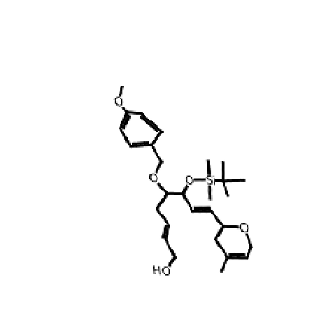 COc1ccc(COC(CC=CCO)C(C=CC2CC(C)=CCO2)O[Si](C)(C)C(C)(C)C)cc1